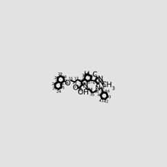 Cc1nn(C)c2c1-c1cccc3c(CCCOc4cccc5ccccc45)c(C(=O)O)n(c13)C/C=C/CN2Cc1ccccc1